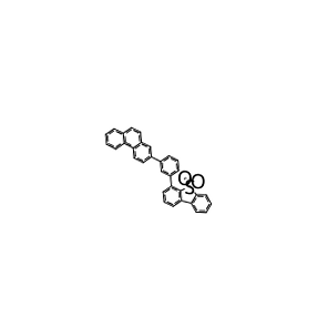 O=S1(=O)c2ccccc2-c2cccc(-c3cccc(-c4ccc5c(ccc6ccccc65)c4)c3)c21